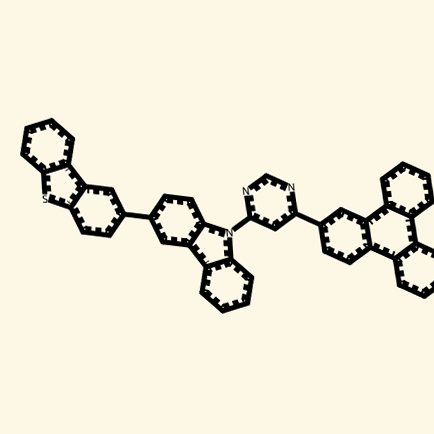 c1ccc2c(c1)sc1ccc(-c3ccc4c(c3)c3ccccc3n4-c3cc(-c4ccc5c6ccccc6c6ccccc6c5c4)ncn3)cc12